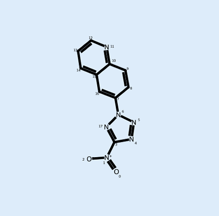 O=[N+]([O-])c1nnn(-c2ccc3ncccc3c2)n1